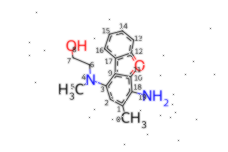 Cc1cc(N(C)CCO)c2c(oc3ccccc32)c1N